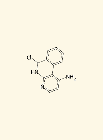 Nc1ccnc2c1-c1ccccc1C(Cl)N2